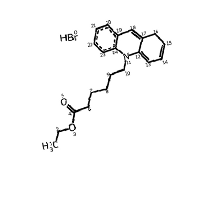 Br.CCOC(=O)CCCCCN1C2=CC=CCC2=Cc2ccccc21